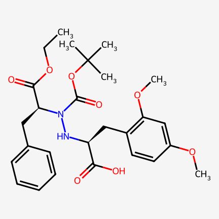 CCOC(=O)[C@H](Cc1ccccc1)N(N[C@@H](Cc1ccc(OC)cc1OC)C(=O)O)C(=O)OC(C)(C)C